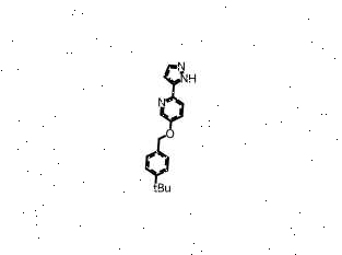 CC(C)(C)c1ccc(COc2ccc(-c3ccn[nH]3)nc2)cc1